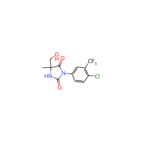 CC1(CO)NC(=O)N(c2ccc(Cl)c(C(F)(F)F)c2)C1=O